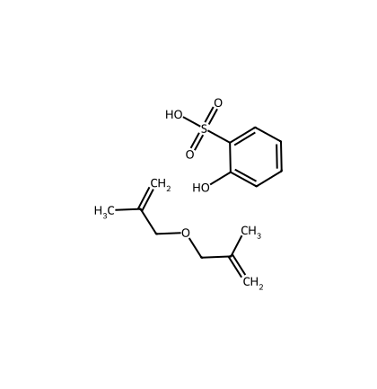 C=C(C)COCC(=C)C.O=S(=O)(O)c1ccccc1O